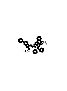 CCC[CH2][Hf]([CH2]CCCC1C(CC)=Cc2cc(-c3ccccc3)ccc21)([CH]1C(C)=Cc2c1ccc1ccccc21)[Si](c1ccccc1)c1ccccc1